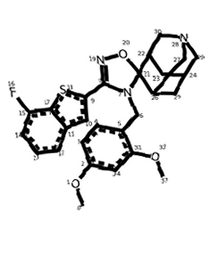 COc1ccc(CN2C(c3cc4cccc(F)c4s3)=NOC23C2CC4CC3CN(C4)C2)c(OC)c1